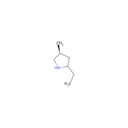 CCC1C[C@H](C)CN1